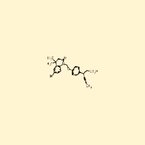 CC#CC(CC(=O)O)c1ccc(OCN2C(=O)CC(C)(C)c3cc(Br)ccc32)cc1